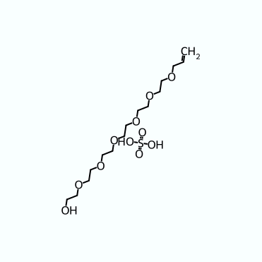 C=CCOCCOCCOCCOCCOCCOCCO.O=S(=O)(O)O